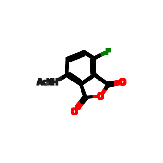 CC(=O)Nc1ccc(F)c2c1C(=O)OC2=O